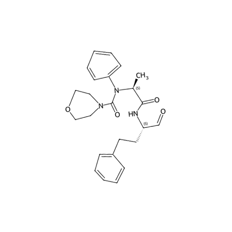 C[C@@H](C(=O)N[C@H](C=O)CCc1ccccc1)N(C(=O)N1CCOCC1)c1ccccc1